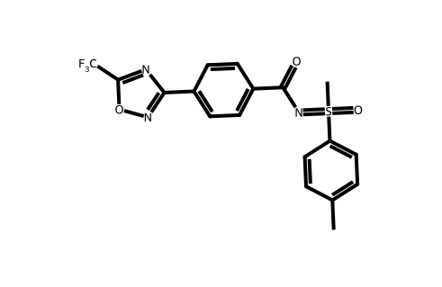 Cc1ccc(S(C)(=O)=NC(=O)c2ccc(-c3noc(C(F)(F)F)n3)cc2)cc1